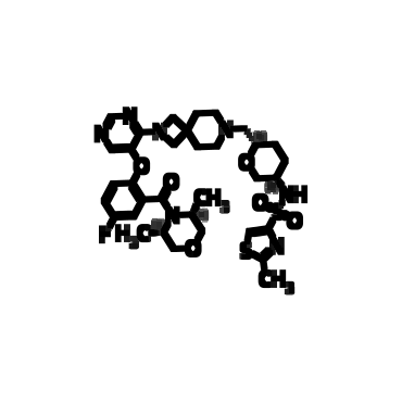 Cc1nc(S(=O)(=O)N[C@@H]2CC[C@@H](CN3CCC4(CC3)CN(c3ncncc3Oc3ccc(F)cc3C(=O)N3[C@H](C)COC[C@@H]3C)C4)OC2)cs1